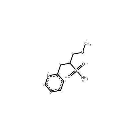 COCC(Cc1ccccn1)S(N)(=O)=O